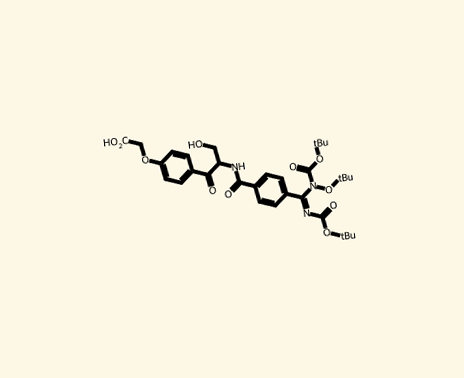 CC(C)(C)OC(=O)/N=C(/c1ccc(C(=O)NC(CO)C(=O)c2ccc(OCC(=O)O)cc2)cc1)N(OC(C)(C)C)C(=O)OC(C)(C)C